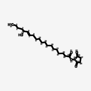 CCCC[C@@H](O)C=CCCCCCCCCCCCCC(=O)ON1C(=O)CCC1=O